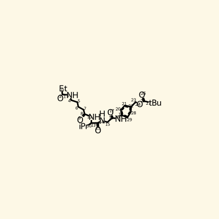 CCC(=O)NCCCCC(=O)NC(C(=O)NCC(=O)Nc1ccc(COC(=O)C(C)(C)C)cc1)C(C)C